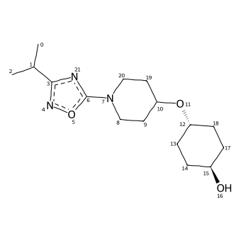 CC(C)c1noc(N2CCC(O[C@H]3CC[C@H](O)CC3)CC2)n1